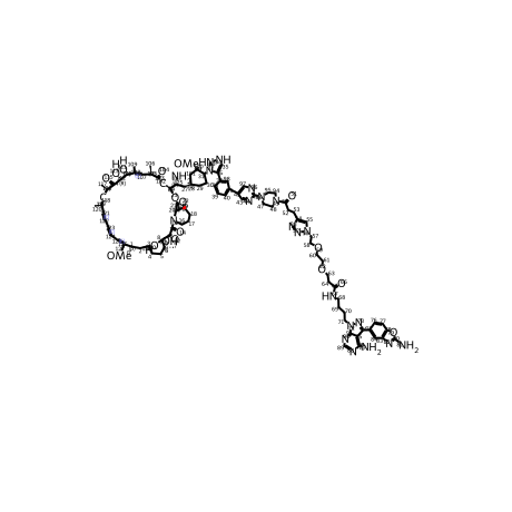 CO[C@H]1C[C@@H]2CC[C@@H](C)[C@@](O)(O2)C(=O)C(=O)N2CCCC[C@H]2C(=O)O[C@H]([C@H](N)C[C@@H]2CCC(N3NNC=C3c3cccc(-c4cnc(N5CCN(C(=O)CCc6cn(CCOCCOCCC(=O)NCCCCn7nc(-c8ccc9oc(N)nc9c8)c8c(N)ncnc87)nn6)CC5)nc4)c3)[C@H](OC)C2)CC(=O)[C@H](C)/C=C(\C)[C@@H](O)[C@@H](O)C(=O)[C@H](C)C[C@H](C)/C=C/C=C/C=C/1C